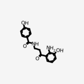 Nc1c(O)cccc1C(=O)CCNC(=O)c1ccc(O)cc1